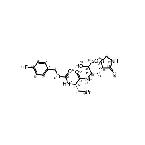 CC(C)C[C@H](NC(=O)OCc1ccc(F)cc1)C(=O)N[C@@H](C[C@@H]1CCNC1=O)C(O)S(=O)(=O)O